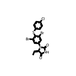 CC=C1C(=O)NC(=O)N1c1cc(Br)c(Sc2ccc(Cl)cc2)c(Br)c1